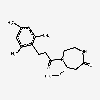 CC[C@H]1CC(=O)NCCN1C(=O)CCc1c(C)cc(C)cc1C